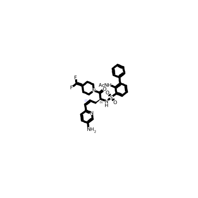 CC(=O)Nc1c(-c2ccccc2)cccc1S(=O)(=O)N[C@@H](C/C=C\c1ccc(N)cn1)C(=O)N1CCC(=C(F)F)CC1